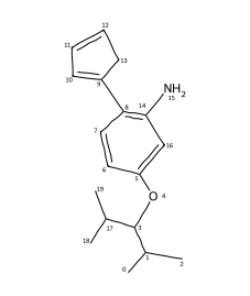 CC(C)C(Oc1ccc(C2=CC=CC2)c(N)c1)C(C)C